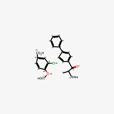 CCCCCCC(C)C(=O)c1ccc(-c2ccccc2)cc1.CCCCCCCCOc1ccc(C(=O)O)cc1Cl